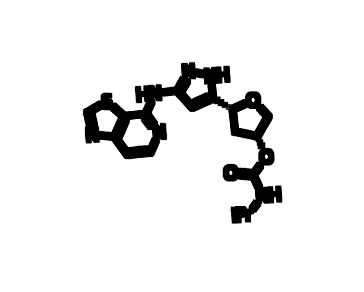 CC(C)NC(=O)O[C@H]1CO[C@@H](c2cc(Nc3nccc4ncsc34)n[nH]2)C1